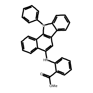 COC(=O)c1ccccc1Nc1cc2c3ccccc3n(-c3ccccc3)c2c2ccccc12